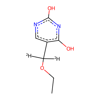 [2H]C([2H])(OCC)c1cnc(O)nc1O